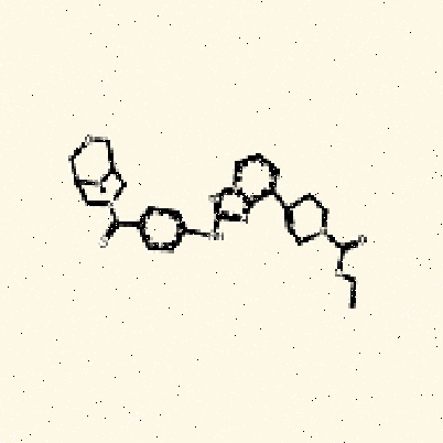 CCOC(=O)N1CC=C(c2cccn3nc(Nc4ccc(C(=O)N5CC6COCC(C5)N6C)cc4)nc23)CC1